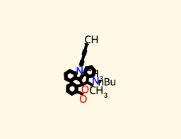 C#CC#CC#Cn1c(C)c(C2(C3c4ccccc4N(CCCC)C3C)OC(=O)c3ccccc32)c2ccccc21